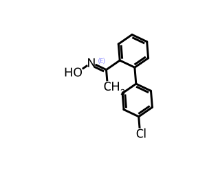 C/C(=N\O)c1ccccc1-c1ccc(Cl)cc1